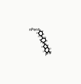 CCCCCC1CCC(C2CCC(C3CC4CC(F)C(F)CC4C3)CC2)CC1